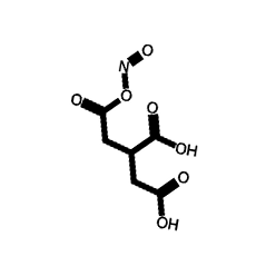 O=NOC(=O)CC(CC(=O)O)C(=O)O